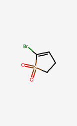 O=S1(=O)CCC=C1Br